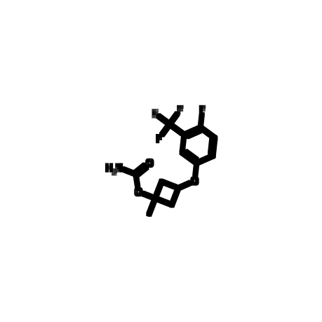 CC1(OC(N)=O)CC(Oc2ccc(F)c(C(F)(F)F)c2)C1